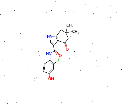 CC1(C)CC(=O)c2c(C(=O)Nc3ccc(O)cc3F)c[nH]c2C1